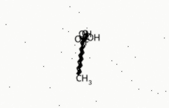 CCCCCCCCCCCCC(F)(C(=O)O)C(=O)O